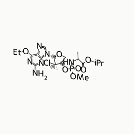 CCOc1nc(N)nc2c1ncn2[C@@H]1OC[C@@H](OP(=O)(NC(C)C(=O)OC(C)C)OC)[C@@]1(C)Cl